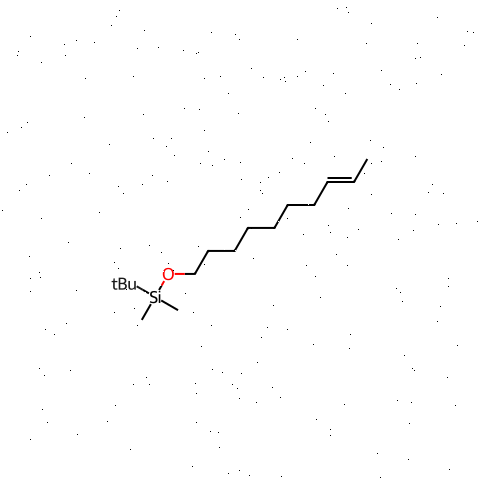 C/C=C/CCCCCCCO[Si](C)(C)C(C)(C)C